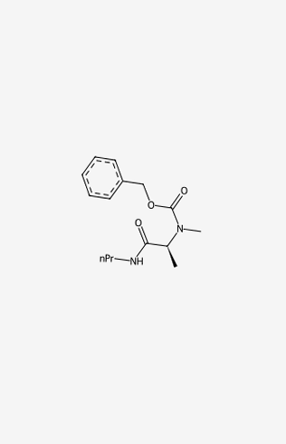 CCCNC(=O)[C@H](C)N(C)C(=O)OCc1ccccc1